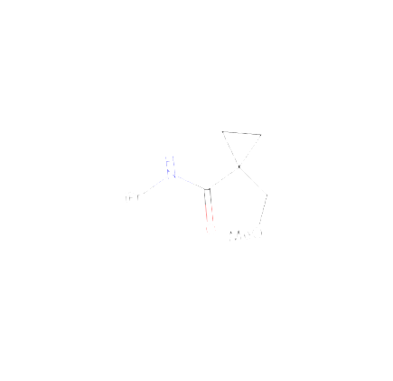 COCC1(C(=O)NC(C)C)CC1